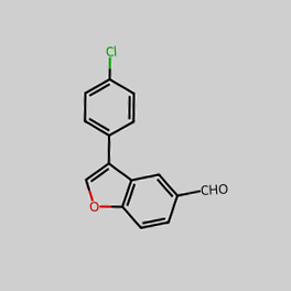 O=Cc1ccc2occ(-c3ccc(Cl)cc3)c2c1